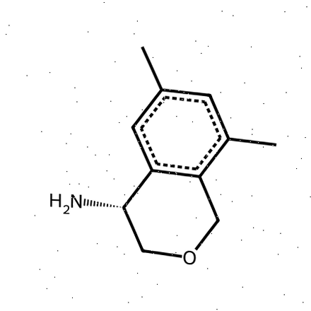 Cc1cc(C)c2c(c1)[C@@H](N)COC2